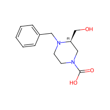 O=C(O)N1CCN(Cc2ccccc2)[C@@H](CO)C1